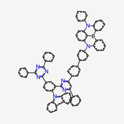 c1ccc(-c2cc(-c3ccc(-c4ccc(N5c6ccccc6B6c7ccccc7N(c7ccccc7)c7cccc5c76)cc4)cc3)nc(-c3cc(-c4nc(-c5ccccc5)nc(-c5ccccc5)n4)ccc3-n3c4ccccc4c4ccccc43)n2)cc1